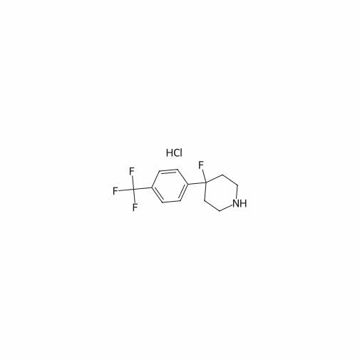 Cl.FC(F)(F)c1ccc(C2(F)CCNCC2)cc1